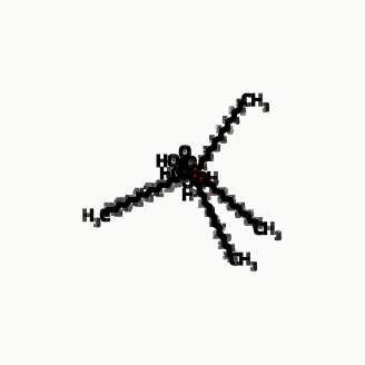 CCCCCCCCCCCCCCCCC(O)(CCCCCCCCCCCCCCCC)[C@@](O)(CCCCCCCCCCCCCCCC)[C@@]1(CCCCCCCCCCCCCCCC)OC(=O)C(O)=C1O